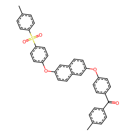 Cc1ccc(C(=O)c2ccc(Oc3ccc4cc(Oc5ccc(S(=O)(=O)c6ccc(C)cc6)cc5)ccc4c3)cc2)cc1